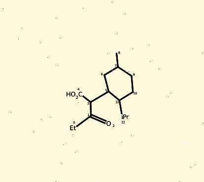 CCC(=O)C(C(=O)O)C1CC(C)CCC1C(C)C